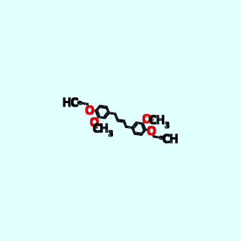 C#CCOc1ccc(C/C=C/Cc2ccc(OCC#C)c(OC)c2)cc1OC